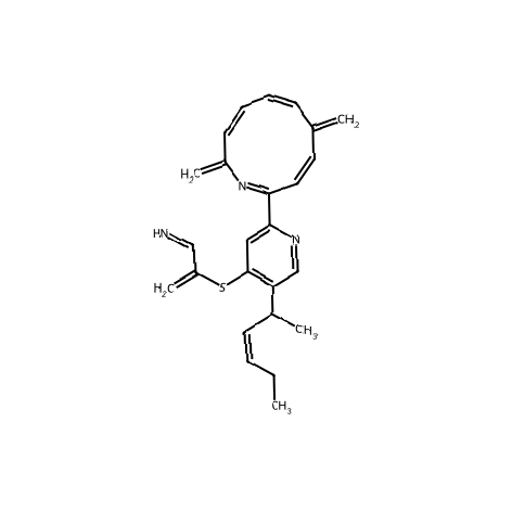 C=C(C=N)Sc1cc(-c2ccc(=C)ccccc(=C)n2)ncc1C(C)/C=C\CC